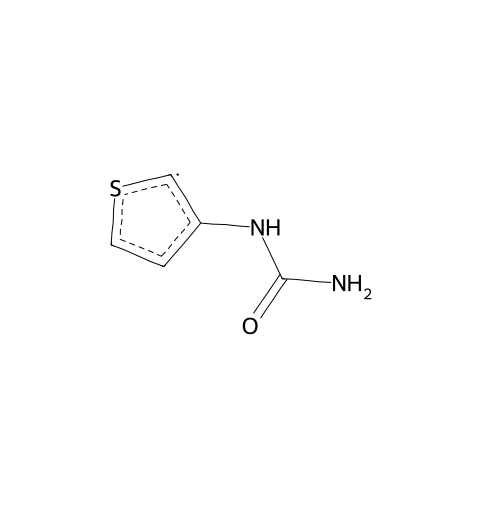 NC(=O)Nc1[c]scc1